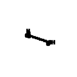 O=C(O)CCCCCCCCCCCCCCCCCO[SH](=O)=O